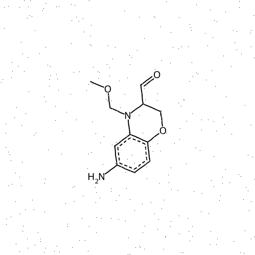 COCN1c2cc(N)ccc2OCC1C=O